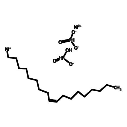 CCCCCCCC/C=C\CCCCCCC[CH2][Ni+].O=[PH]([O-])O.O=[PH]([O-])[O-].[Ni+2]